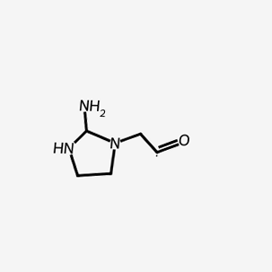 NC1NCCN1C[C]=O